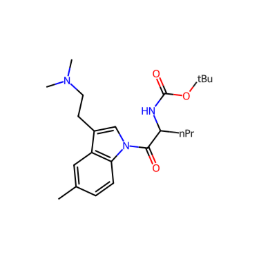 CCCC(NC(=O)OC(C)(C)C)C(=O)n1cc(CCN(C)C)c2cc(C)ccc21